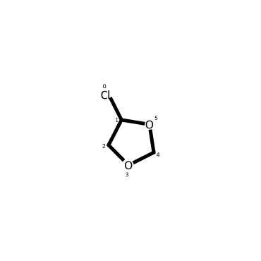 ClC1COCO1